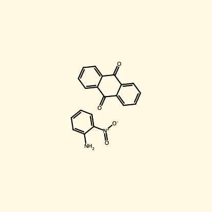 Nc1ccccc1[N+](=O)[O-].O=C1c2ccccc2C(=O)c2ccccc21